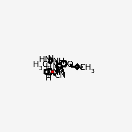 Cc1cc(Nc2nc(N[C@@H]3C[C@H]4CC[C@@H](C3)N4CCC#N)nc3cc(OCC4CN(C)C4)ccc23)n[nH]1